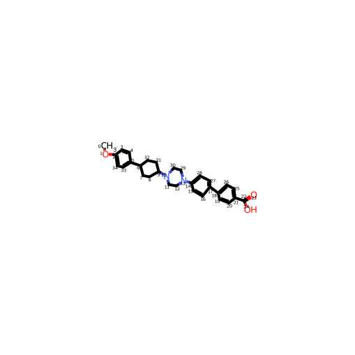 COc1ccc(C2CCC(N3CCN(c4ccc(-c5ccc(C(=O)O)cc5)cc4)CC3)CC2)cc1